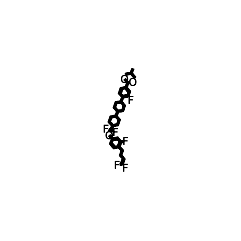 CC1COC(c2ccc(C3CCC(C4CCC(C(F)(F)Oc5ccc(CCC=C(F)F)c(F)c5)CC4)CC3)c(F)c2)OC1